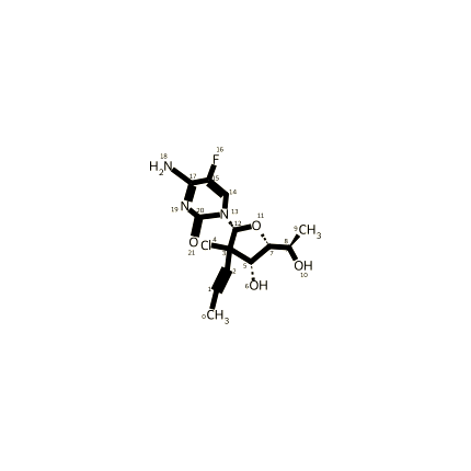 CC#CC1(Cl)[C@@H](O)[C@@H]([C@@H](C)O)O[C@H]1n1cc(F)c(N)nc1=O